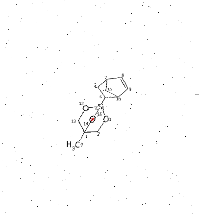 CC12CO[Si](C3CC4C=CC3C4)(OC1)OC2